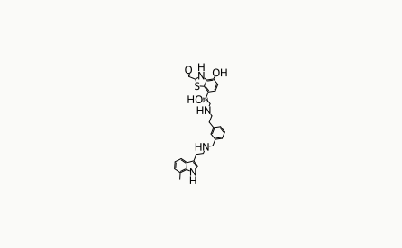 Cc1cccc2c(CCNCc3cccc(CCNC[C@H](O)c4ccc(O)c5c4SC(C=O)N5)c3)c[nH]c12